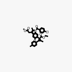 CCOC(=O)C1(c2cc3c(cc2OC)c(CC(=O)OC)c(C)n3C(=O)c2ccc(Cl)cc2)C(C)=C1c1ccc(C)cc1